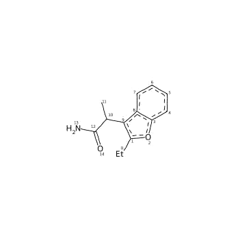 CCc1oc2ccccc2c1C(C)C(N)=O